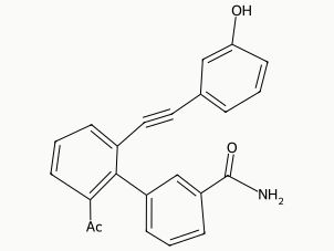 CC(=O)c1cccc(C#Cc2cccc(O)c2)c1-c1cccc(C(N)=O)c1